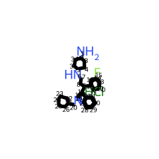 Cl.NC1CCC(NCCC(c2cccc(F)c2)c2cn(CC3CCCCC3)c3ccccc23)CC1